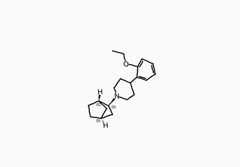 CCOc1ccccc1C1CCN([C@H]2C[C@H]3CC[C@H]2C3)CC1